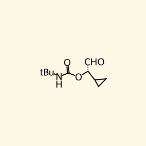 CC(C)(C)NC(=O)O[C@H](C=O)C1CC1